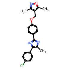 Cc1nc(-c2ccc(OCc3c(C)noc3C)cc2)[nH]c1-c1ccc(Cl)cc1